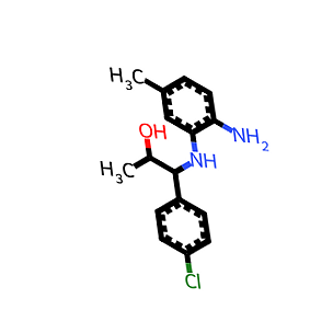 Cc1ccc(N)c(NC(c2ccc(Cl)cc2)C(C)O)c1